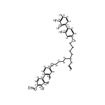 C=CCC(CCCCOc1ccc(-c2ccc(C)c(F)c2F)c(F)c1)CCCCOc1ccc(-c2ccc(OCC)c(F)c2F)c(F)c1